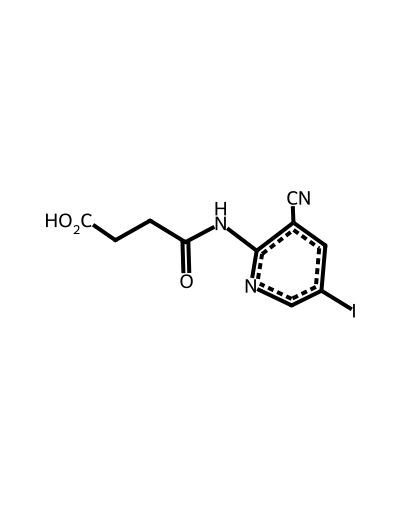 N#Cc1cc(I)cnc1NC(=O)CCC(=O)O